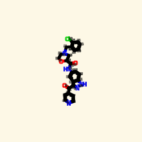 O=C(c1ccncc1)c1n[nH]c2ccc(NC(=O)C3CN(Cc4ccccc4Cl)CCO3)cc12